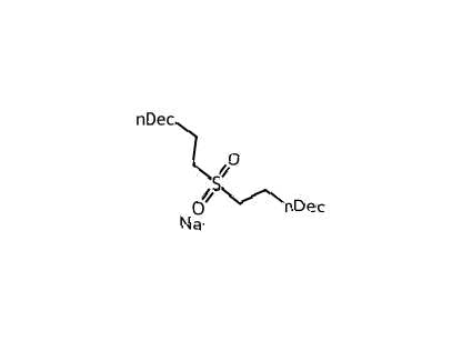 CCCCCCCCCCCCS(=O)(=O)CCCCCCCCCCCC.[Na]